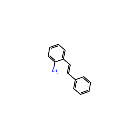 Nc1ccccc1/C=C/c1ccccc1